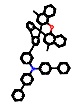 Cc1cc2c(c3ccccc13)Oc1c(cc(C)c3ccccc13)C21c2ccccc2-c2cc(-c3cccc(N(c4ccc(-c5ccccc5)cc4)c4ccc(-c5ccccc5)cc4)c3)ccc21